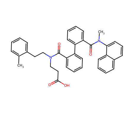 Cc1ccccc1CCN(CCC(=O)O)C(=O)c1ccccc1-c1ccccc1C(=O)N(C)c1cccc2ccccc12